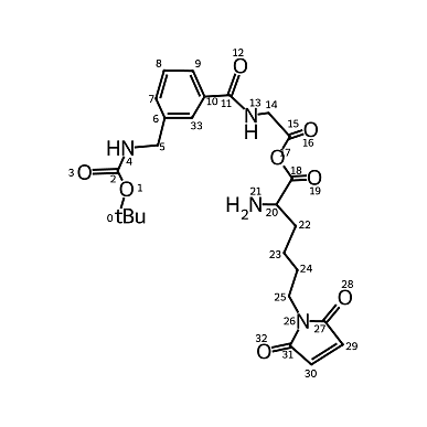 CC(C)(C)OC(=O)NCc1cccc(C(=O)NCC(=O)OC(=O)C(N)CCCCN2C(=O)C=CC2=O)c1